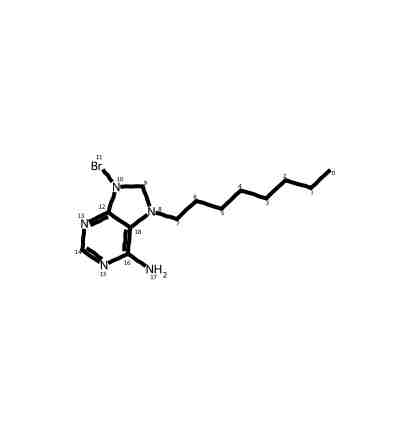 CCCCCCCCN1CN(Br)c2ncnc(N)c21